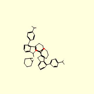 CC(C)c1ccc(-c2cccc3c2C=C(C2CCCCC2)[CH]3[Zr+2]2([CH]3C(C4CCCCC4)=Cc4c(-c5ccc(C(C)C)cc5)cccc43)[CH]3CCCC[CH]32)cc1.[Cl-].[Cl-]